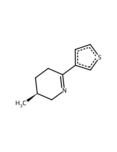 C[C@H]1CCC(c2ccsc2)=NC1